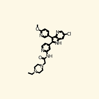 CCN1CCN(CC(=O)Nc2cc(-c3[nH]c4cc(Cl)cnc4c3-c3ccc(OC)nc3)ccn2)CC1